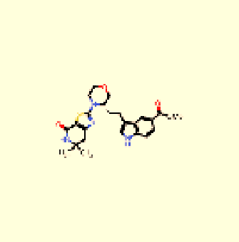 COC(=O)c1ccc2[nH]cc(CC[C@H]3COCCN3c3nc4c(s3)C(=O)NC(C)(C)C4)c2c1